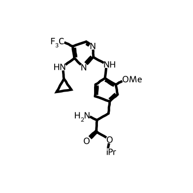 COc1cc(CC(N)C(=O)OC(C)C)ccc1Nc1ncc(C(F)(F)F)c(NC2CC2)n1